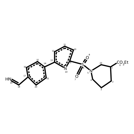 CCOC(=O)C1CCCN(S(=O)(=O)c2cccc(-c3ccc(C=N)cc3)n2)C1